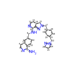 Nc1nccc2cc(CNc3nccc4cn(Cc5ccc(Cn6cccn6)cc5)nc34)ccc12